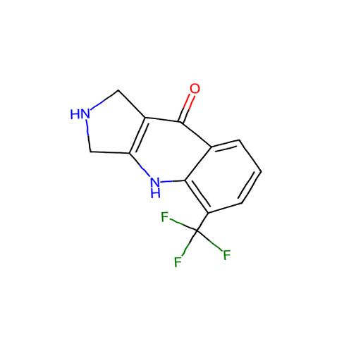 O=c1c2c([nH]c3c(C(F)(F)F)cccc13)CNC2